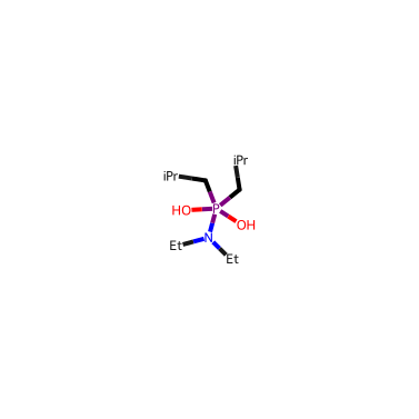 CCN(CC)P(O)(O)(CC(C)C)CC(C)C